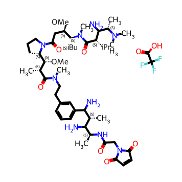 CC[C@H](C)[C@@H]([C@@H](CC(=O)N1CCC[C@H]1[C@H](OC)[C@@H](C)C(=O)N(C)CCc1cccc(C(N)[C@H](C)C(N)[C@H](C)NC(=O)CN2C(=O)C=CC2=O)c1)OC)N(C)C(=O)[C@@H](C(C)C)C(N)[C@H](C)N(C)C.O=C(O)C(F)(F)F